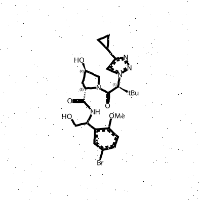 COc1ccc(Br)cc1C(CO)NC(=O)[C@@H]1C[C@@H](O)CN1C(=O)[C@@H](n1cc(C2CC2)nn1)C(C)(C)C